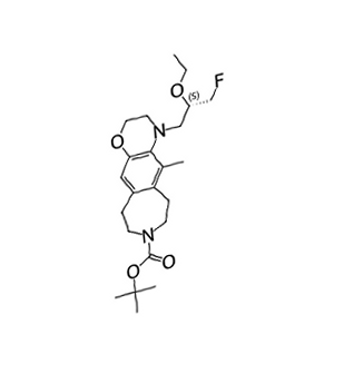 CCO[C@H](CF)CN1CCOc2cc3c(c(C)c21)CCN(C(=O)OC(C)(C)C)CC3